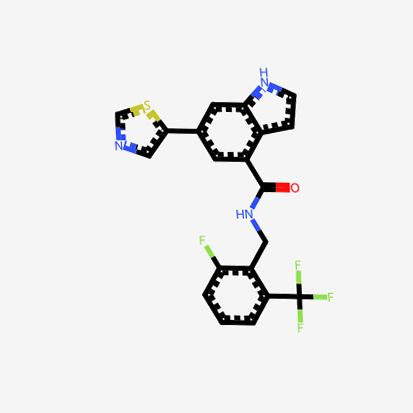 O=C(NCc1c(F)cccc1C(F)(F)F)c1cc(-c2cncs2)cc2[nH]ccc12